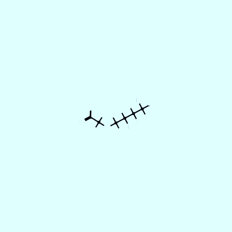 O=C(O)C(F)(F)OC(F)(F)C(F)(F)C(F)(F)C(F)(F)F